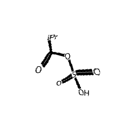 CC(C)C(=O)OS(=O)(=O)O